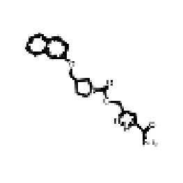 NC(=O)c1cc(COC(=O)N2CCC(COc3ccc4ccccc4c3)C2)on1